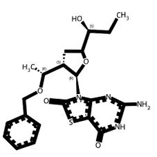 CC[C@H](O)C1C[C@@H]([C@@H](C)OCc2ccccc2)[C@H](n2c(=O)sc3c(=O)[nH]c(N)nc32)O1